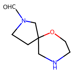 O=CN1CCC2(CNCCO2)C1